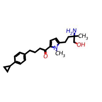 Cn1c(CCC(C)(N)CO)ccc1C(=O)CCCc1ccc(C2CC2)cc1